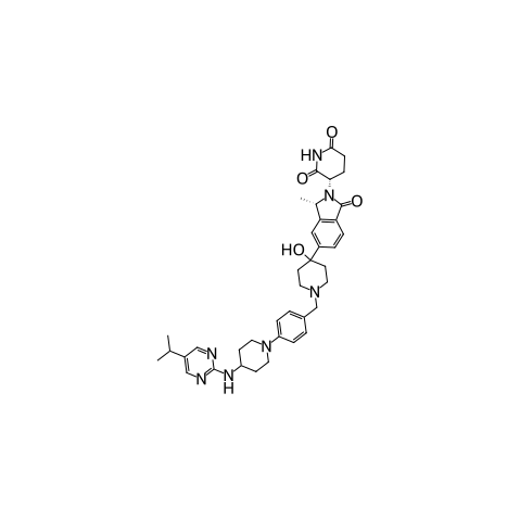 CC(C)c1cnc(NC2CCN(c3ccc(CN4CCC(O)(c5ccc6c(c5)[C@H](C)N([C@H]5CCC(=O)NC5=O)C6=O)CC4)cc3)CC2)nc1